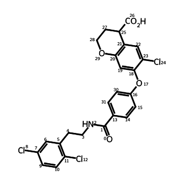 O=C(NCCc1cc(Cl)ccc1Cl)c1ccc(Oc2cc3c(cc2Cl)C(C(=O)O)CCO3)cc1